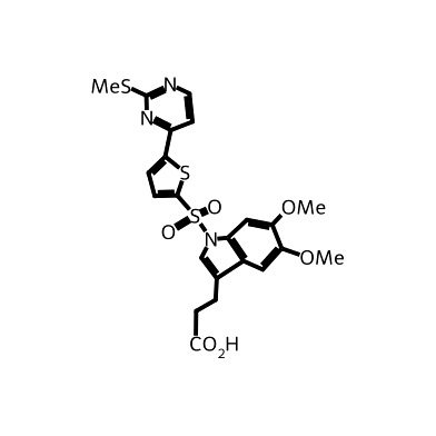 COc1cc2c(CCC(=O)O)cn(S(=O)(=O)c3ccc(-c4ccnc(SC)n4)s3)c2cc1OC